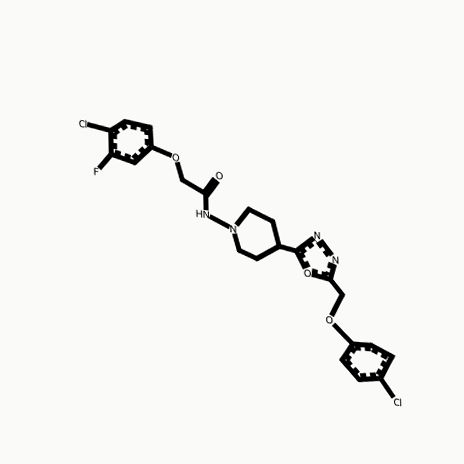 O=C(COc1ccc(Cl)c(F)c1)NN1CCC(c2nnc(COc3ccc(Cl)cc3)o2)CC1